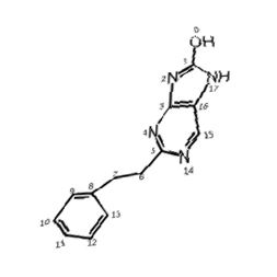 Oc1nc2nc(CCc3ccccc3)ncc2[nH]1